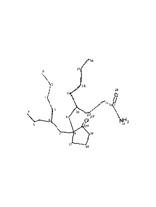 CCCCC(CC)CC1(CC(CC)CCCC)CCCC1=O.NC=O